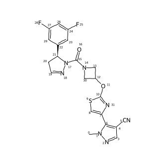 Cn1ncc(C#N)c1-c1csc(OC2CN(C(=O)N3N=CC[C@H]3c3cc(F)cc(F)c3)C2)n1